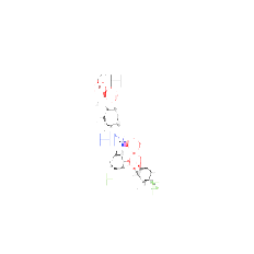 COC(=O)Cc1ccc(CNC(=O)c2ccc(F)cc2Oc2ccc(F)cc2)cc1